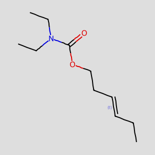 CC/C=C/CCOC(=O)N(CC)CC